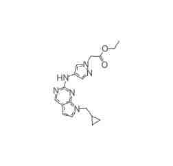 CCOC(=O)Cn1cc(Nc2ncc3ccn(CC4CC4)c3n2)cn1